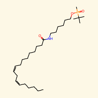 CCCCC/C=C\C/C=C\CCCCCCCC(=O)NCCCCCCOP(C)(=O)C(C)(C)C